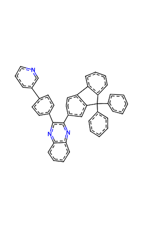 c1ccc(C2(c3ccccc3)c3ccccc3-c3ccc(-c4nc5ccccc5nc4-c4ccc(-c5cccnc5)cc4)cc32)cc1